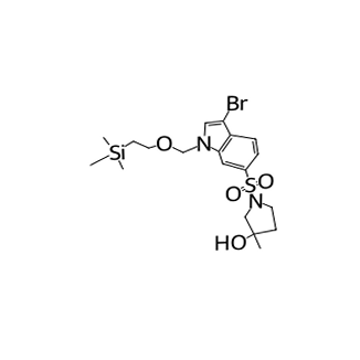 CC1(O)CCN(S(=O)(=O)c2ccc3c(Br)cn(COCC[Si](C)(C)C)c3c2)C1